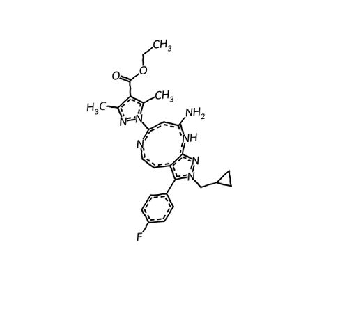 CCOC(=O)c1c(C)nn(-c2cc(N)[nH]c3nn(CC4CC4)c(-c4ccc(F)cc4)c3ccn2)c1C